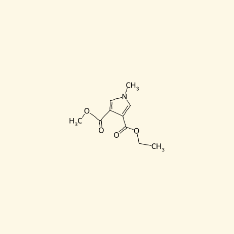 CCOC(=O)c1cn(C)cc1C(=O)OC